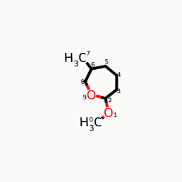 COC1CCCC(C)CO1